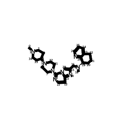 CN1CCC(N2CCN(c3nccc4nc(CN(C)[C@H]5CCCc6cccnc65)cn34)CC2)CC1